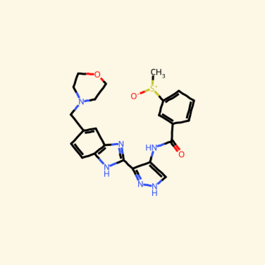 C[S+]([O-])c1cccc(C(=O)Nc2c[nH]nc2-c2nc3cc(CN4CCOCC4)ccc3[nH]2)c1